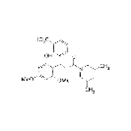 COc1cc(O)c(C(CC(=O)N2CC(C)CC(C)C2)c2cccc(C(=O)O)c2)c(OC)c1